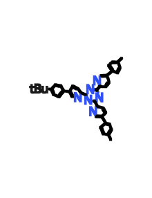 Cc1ccc(-c2ccc(-c3nc(-c4ccc(-c5ccc(C)cc5)cn4)nc(-c4ccc(-c5ccc(C(C)(C)C)cc5)cn4)n3)nc2)cc1